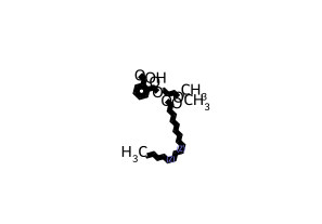 CCCCC/C=C\C/C=C\CCCCCCCC(=O)OC(COC(=O)c1ccccc1C(=O)O)COC(C)C